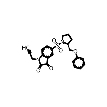 C#CCN1C(=O)C(=O)c2cc(S(=O)(=O)N3CCC[C@H]3COc3ccccc3)ccc21